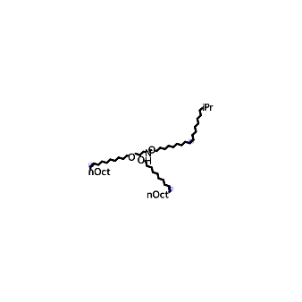 CCCCCCCC/C=C\CCCCCCCCOCC(CNOCCCCCCCC/C=C\CCCCCCCC(C)C)OCCCCCCCC/C=C\CCCCCCCC